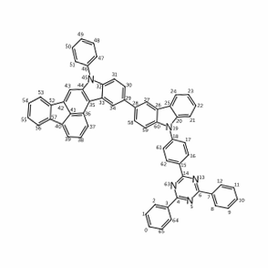 c1ccc(-c2nc(-c3ccccc3)nc(-c3ccc(-n4c5ccccc5c5cc(-c6ccc7c(c6)c6c8cccc9c8c(cc6n7-c6ccccc6)-c6ccccc6-9)ccc54)cc3)n2)cc1